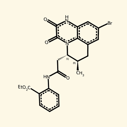 CCOC(=O)c1ccccc1NC(=O)C[C@H]1[C@H](C)Cc2cc(Br)cc3[nH]c(=O)c(=O)n1c23